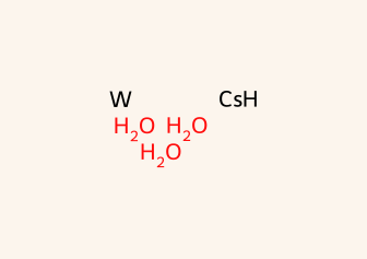 O.O.O.[CsH].[W]